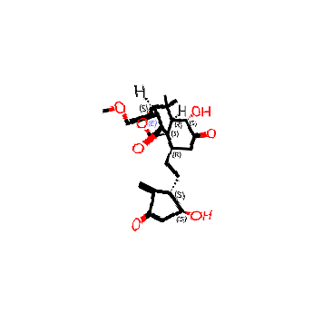 C=C1C(=O)C[C@H](O)[C@H]1CC[C@@H]1CC(=O)[C@@H](O)[C@@H]2C(C)(C)[C@@H]3OC[C@]12C(=O)/C3=C/OC